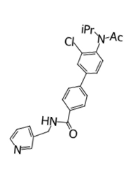 CC(=O)N(c1ccc(-c2ccc(C(=O)NCc3cccnc3)cc2)cc1Cl)C(C)C